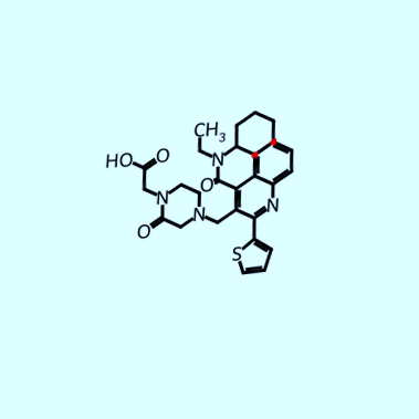 CCN(C(=O)c1c(CN2CCN(CC(=O)O)C(=O)C2)c(-c2cccs2)nc2ccccc12)C1CCCCC1